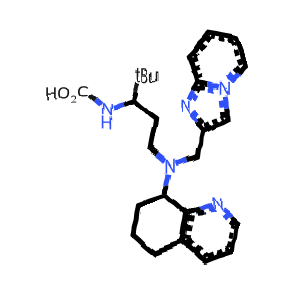 CC(C)(C)C(CCN(Cc1cn2ccccc2n1)C1CCCc2cccnc21)NC(=O)O